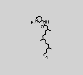 CCN1CCCC(NC(=O)CC(C)CCCC(C)CCCC(C)CCCC(C)C)C1